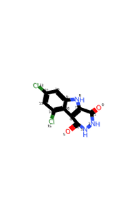 O=c1[nH][nH]c(=O)c2c1[nH]c1cc(Cl)cc(Cl)c12